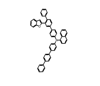 c1ccc(-c2ccc(-c3ccc(N(c4ccc(-c5ccc(-c6ccccc6)c(-c6cc7ccccc7o6)c5)cc4)c4cccc5ccccc45)cc3)cc2)cc1